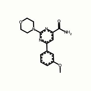 COc1cccc(-c2cc(C(N)=O)nc(N3CCOCC3)n2)c1